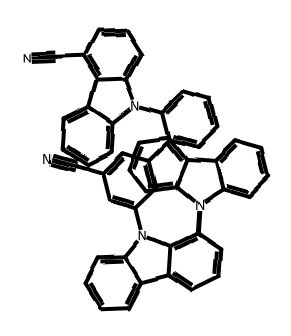 N#Cc1cc(-c2ccccc2-n2c3ccccc3c3c(C#N)cccc32)cc(-n2c3ccccc3c3cccc(-n4c5ccccc5c5ccccc54)c32)c1